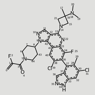 C=C(F)C(=O)N1CCC(n2ncc3c(N4CC(C)(N(C)C)C4)nc4c(F)c(-c5c(C)c(Cl)cc6[nH]ncc56)c(Cl)cc4c32)CC1